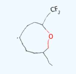 CC1C[CH]CC(C(F)(F)F)O1